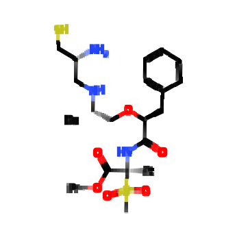 CC[C@H](C)[C@@H](CO[C@@H](Cc1ccccc1)C(=O)N[C@](CC)(C(=O)OC(C)C)S(C)(=O)=O)NC[C@@H](N)CS